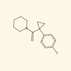 O=C(N1CCCCC1)C1(c2ccc(I)cc2)CC1